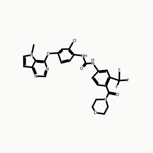 Cn1ccc2ncnc(Oc3ccc(NC(=O)Nc4ccc(C(=O)N5CCOCC5)c(C(F)(F)F)c4)c(Cl)c3)c21